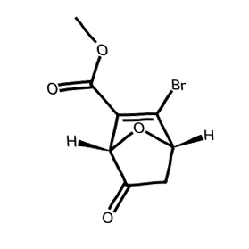 COC(=O)C1=C(Br)[C@@H]2CC(=O)[C@H]1O2